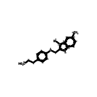 CCn1c(COc2ccc(CCC(=O)O)cc2)nc2ccc(C)cc21